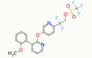 COc1ccccc1-c1cccnc1Oc1ccc(C(F)(F)COS(=O)(=O)C(F)(F)F)nc1